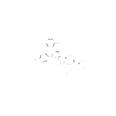 COc1cccc(OC)c1-c1cc(C(=O)N[C@@H](CC(C)C)C(=O)C(=O)O)nn1-c1ccc(Cl)cc1